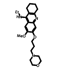 CCNc1c2c(nc3cc(OCCCN4CCOCC4)c(OC)cc13)CCCC2